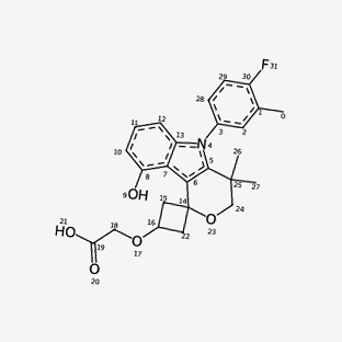 Cc1cc(-n2c3c(c4c(O)cccc42)C2(CC(OCC(=O)O)C2)OCC3(C)C)ccc1F